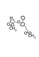 COC(=O)CCCc1ccc(OCCC(C)OC(C)=O)c(-c2ccccc2)c1